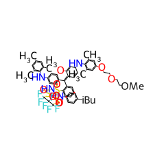 CCC(C)c1ccc(NS(=O)(=O)C(F)(F)C(F)(F)C(F)(F)S(=O)(=O)NS(=O)(=O)c2ccccc2C2=C3C=CC(Nc4c(C)cc(OCCOCCOC)cc4C)C=C3Oc3cc(Nc4c(C)cc(C)cc4C)ccc32)cc1